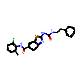 Cc1cccc(Cl)c1NC(=O)c1ccc2nc(NC(=O)NCCc3ccccc3)sc2c1